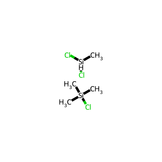 C[SiH](Cl)Cl.C[Si](C)(C)Cl